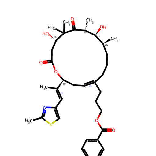 C/C(=C\c1csc(C)n1)[C@@H]1C/C=C(/CCCOC(=O)c2ccccc2)CCC[C@H](C)[C@H](O)[C@@H](C)C(=O)C(C)(C)[C@@H](O)CC(=O)O1